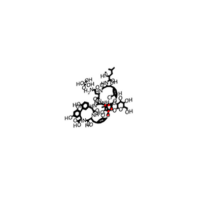 CNC(CC(C)C)C(=O)NC1C(=O)NC(CC(N)=O)C(=O)NC2C(=O)NC3C(=O)NC(C(=O)NC(C(=O)O)c4cc(O)cc(O)c4-c4cc3ccc4O)C(O)c3ccc(c(Cl)c3)Oc3cc2cc(c3OC2OC(CO)C(O)C(O)C2OC2CC(C)(N)C(O)C(C)O2)Oc2ccc(cc2Cl)C1O.O=P(O)(O)O